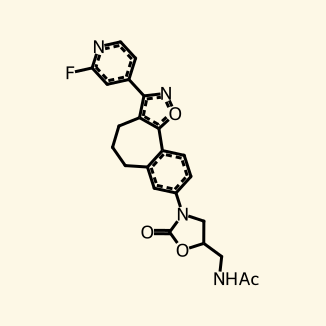 CC(=O)NCC1CN(c2ccc3c(c2)CCCc2c(-c4ccnc(F)c4)noc2-3)C(=O)O1